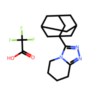 C1CCn2c(nnc2C23CC4CC(CC(C4)C2)C3)C1.O=C(O)C(F)(F)F